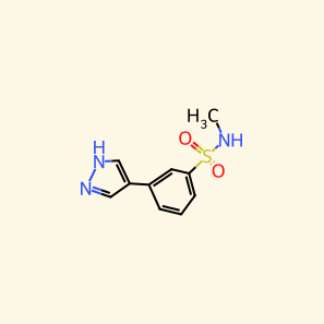 CNS(=O)(=O)c1cccc(-c2cn[nH]c2)c1